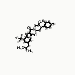 CC(C)Cc1cc(C(F)(F)F)c2nc(C(=O)N3CCN(c4ccc(F)cc4F)C(=O)C3)c(Cl)n2c1